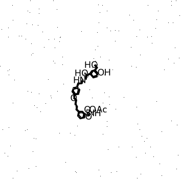 CC(=O)ONS(=O)(=O)c1cccc(CCCCOc2ccc(CCNC[C@@H](O)c3ccc(O)c(CO)c3)cc2)c1